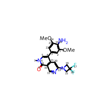 COc1cc(-c2cn(C)c(=O)c3cnc(N4CC(F)(F)C4)cc23)cc(OC)c1N